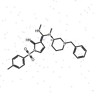 CN/C(=C1/C=CN(S(=O)(=O)c2ccc(C)cc2)C1=N)N(C)[C@@H]1CCCN(Cc2ccccc2)C1